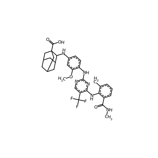 CNC(=O)c1cccc(C)c1Nc1nc(Nc2ccc(NC3C4CC5CC(C4)CC3(C(=O)O)C5)cc2OC)ncc1C(F)(F)F